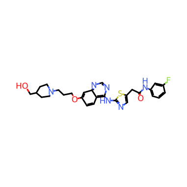 O=C(Cc1cnc(Nc2ncnc3cc(OCCCN4CCC(CO)CC4)ccc23)s1)Nc1cccc(F)c1